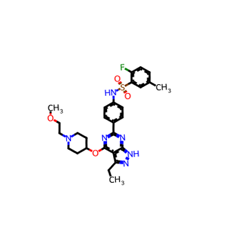 CCc1n[nH]c2nc(-c3ccc(NS(=O)(=O)c4cc(C)ccc4F)cc3)nc(OC3CCN(CCOC)CC3)c12